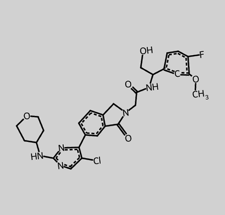 COc1cc(C(CO)NC(=O)CN2Cc3ccc(-c4nc(NC5CCOCC5)ncc4Cl)cc3C2=O)ccc1F